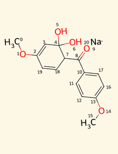 COC1=CC(O)(O)C(C(=O)c2ccc(OC)cc2)C=C1.[Na]